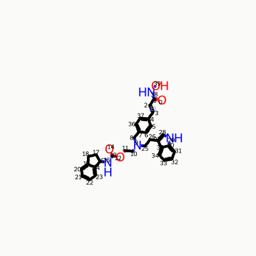 O=C(/C=C/c1ccc(CN(CCOC(=O)NC2CCc3ccccc32)CCc2c[nH]c3ccccc23)cc1)NO